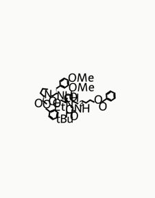 CC[C@](C)(NC(=O)[C@H](CCCCOC(=O)c1ccccc1)NC(=O)OC(C)(C)C)C(=O)N[C@@H](Cc1ccc(OC)c(OC)c1)C(=O)N1CCC[C@@H]1C(=O)OCc1ccccc1